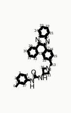 Cc1cccc(NC(=O)NC2CN(Cc3ccc(-c4nc5ccccc5nc4-c4ccccc4)cc3)C2)c1